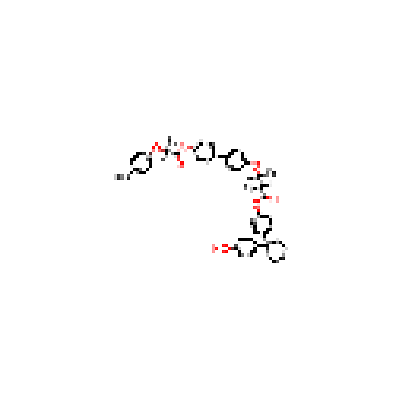 CCC(C)(Oc1ccc(C(C)(C)C)cc1)C(=O)Oc1ccc(-c2ccc(OC(C)(CC)C(C)(CC)C(=O)Oc3ccc(C4(c5ccc(O)cc5)CCCCC4)cc3)cc2)cc1